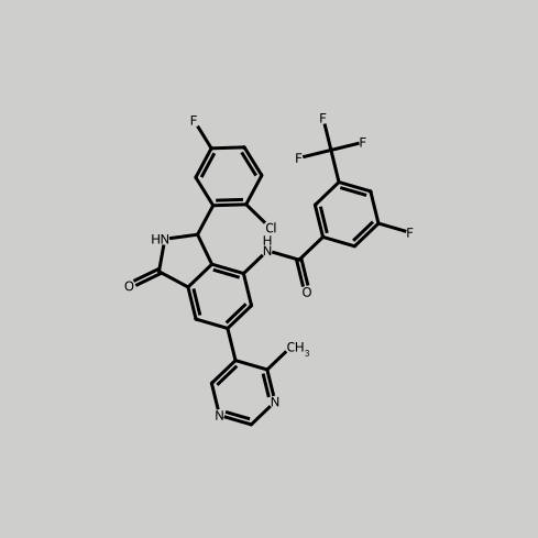 Cc1ncncc1-c1cc(NC(=O)c2cc(F)cc(C(F)(F)F)c2)c2c(c1)C(=O)NC2c1cc(F)ccc1Cl